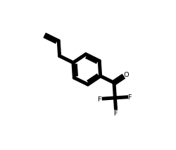 C=CCc1ccc(C(=O)C(F)(F)F)cc1